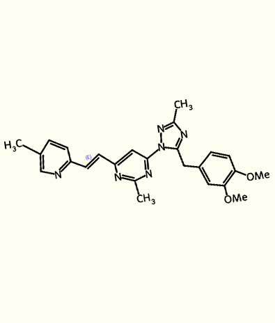 COc1ccc(Cc2nc(C)nn2-c2cc(/C=C/c3ccc(C)cn3)nc(C)n2)cc1OC